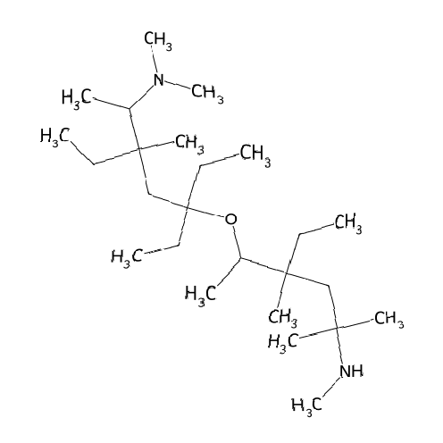 CCC(CC)(CC(C)(CC)C(C)N(C)C)OC(C)C(C)(CC)CC(C)(C)NC